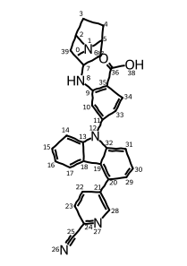 CN1C2CCC1CC(Nc1cc(-n3c4ccccc4c4c(-c5ccc(C#N)nc5)cccc43)ccc1C(=O)O)C2